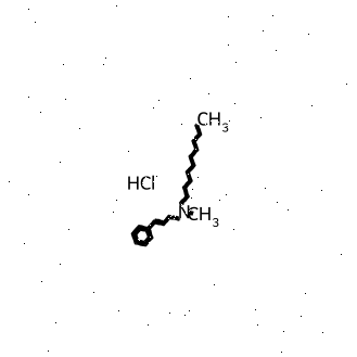 CCCCCCCCCCCCN(C)CCC=Cc1ccccc1.Cl